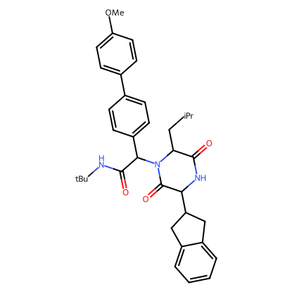 COc1ccc(-c2ccc(C(C(=O)NC(C)(C)C)N3C(=O)C(C4Cc5ccccc5C4)NC(=O)C3CC(C)C)cc2)cc1